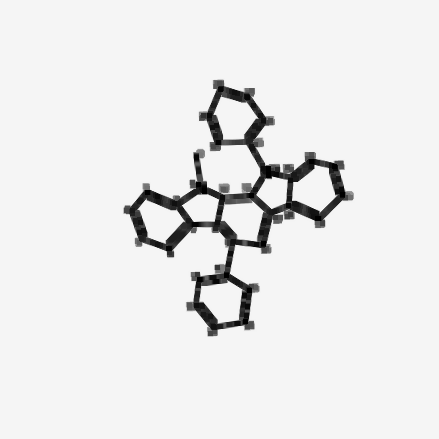 Cn1c2ccccc2c2c(-c3ccccc3)cc3c4ccccc4n(-c4ccccc4)c3c21